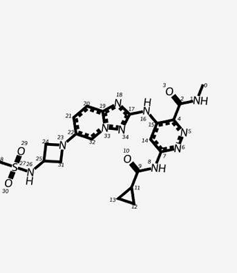 CNC(=O)c1nnc(NC(=O)C2CC2)cc1Nc1nc2ccc(N3CC(NS(C)(=O)=O)C3)cn2n1